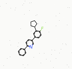 Fc1ccc(-c2ccc(-c3ccccc3)nc2)cc1C1CCCC1